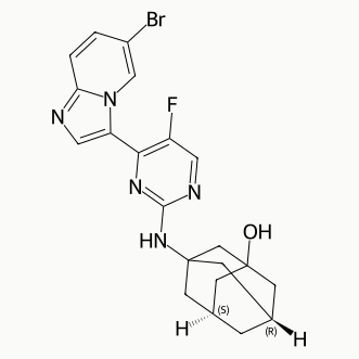 OC12C[C@H]3C[C@@H](C1)CC(Nc1ncc(F)c(-c4cnc5ccc(Br)cn45)n1)(C3)C2